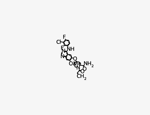 C=CC(=O)N1CCC(Oc2cc3c(Nc4ccc(F)c(Cl)c4F)ncnc3cc2OC)CC1C(N)=O